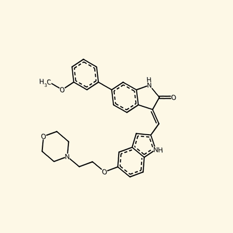 COc1cccc(-c2ccc3c(c2)NC(=O)/C3=C/c2cc3cc(OCCN4CCOCC4)ccc3[nH]2)c1